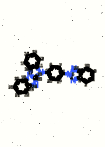 c1ccc2nn(-c3ccc(-n4c5ccccc5n5c6ccccc6nc45)cc3)nc2c1